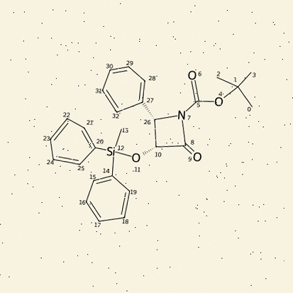 CC(C)(C)OC(=O)N1C(=O)[C@H](O[Si](C)(c2ccccc2)c2ccccc2)[C@@H]1c1ccccc1